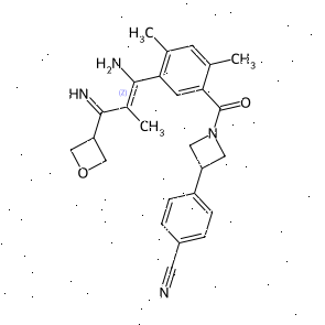 C/C(C(=N)C1COC1)=C(/N)c1cc(C(=O)N2CC(c3ccc(C#N)cc3)C2)c(C)cc1C